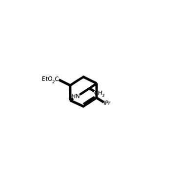 CCOC(=O)C1CC2C(C(C)C)=CC1NC2C